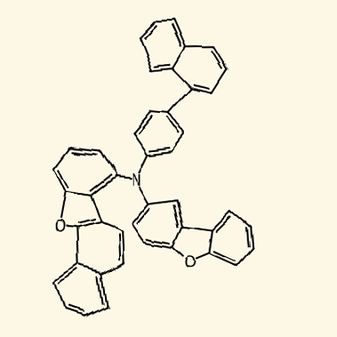 c1ccc2c(-c3ccc(N(c4ccc5oc6ccccc6c5c4)c4cccc5oc6c7ccccc7ccc6c45)cc3)cccc2c1